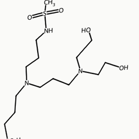 CS(=O)(=O)NCCCN(CCCN(CCO)CCO)CCCS(=O)(=O)O